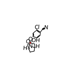 N#Cc1ccc(O[C@@H]2C[C@H]3CC[C@@H](C2)N3C(=O)O)cc1Cl